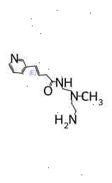 CN(CCN)CCNC(=O)C/C=C/c1cccnc1